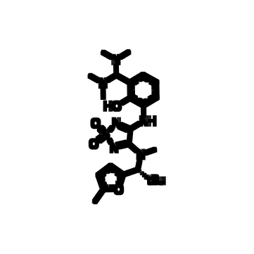 Cc1ccc([C@H](N(C)C2=NS(=O)(=O)N=C2Nc2cccc(C(N(C)C)N(C)C)c2O)C(C)(C)C)o1